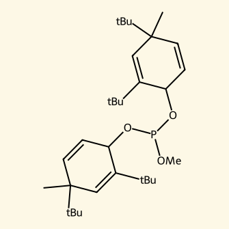 COP(OC1C=CC(C)(C(C)(C)C)C=C1C(C)(C)C)OC1C=CC(C)(C(C)(C)C)C=C1C(C)(C)C